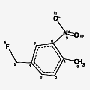 Cc1ccc(CF)cc1[N+](=O)[O-]